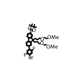 COCCOCCCC1(CCCOCCOC)c2cc(B3OC(C)(C)C(C)(C)O3)ccc2-c2ccc(-c3cc(F)c(Br)cc3F)cc21